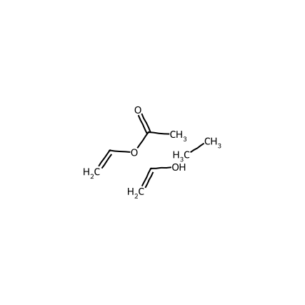 C=CO.C=COC(C)=O.CC